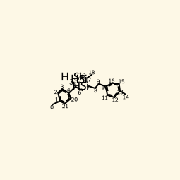 Cc1ccc(CC[SiH](CCc2ccc(C)cc2)[SiH](C)[SiH3])cc1